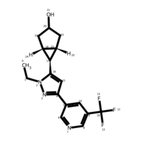 CCn1nc(-c2cncc(C(F)(F)F)c2)cc1[C@H]1[C@@H]2CC(O)C[C@@H]21